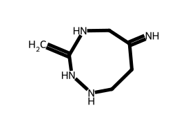 C=C1NCC(=N)CCNN1